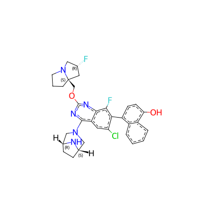 Oc1ccc(-c2c(Cl)cc3c(N4C[C@H]5CC[C@@H](C4)N5)nc(OC[C@@]45CCCN4C[C@H](F)C5)nc3c2F)c2ccccc12